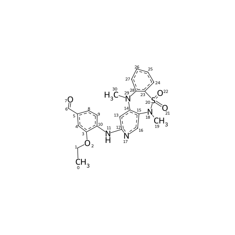 CCOc1cc(C=O)ccc1Nc1cc2c(cn1)N(C)S(=O)(=O)c1ccccc1N2C